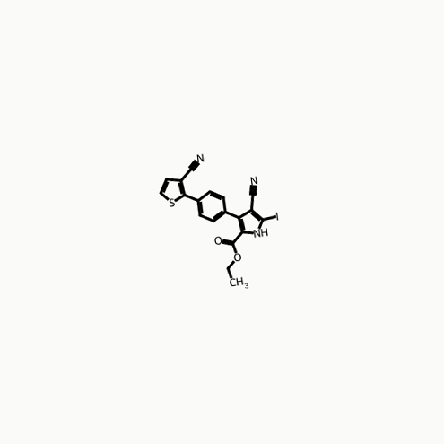 CCOC(=O)c1[nH]c(I)c(C#N)c1-c1ccc(-c2sccc2C#N)cc1